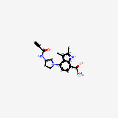 C#CC(=O)N[C@@H]1CCN(c2ccc(C(N)=O)c3[nH]c(C)c(C)c23)C1